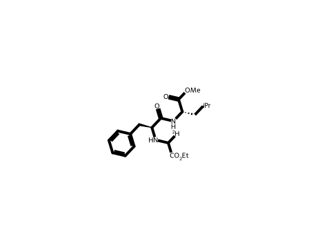 [2H]C(N[C@@H](Cc1ccccc1)C(=O)N[C@@H](CC(C)C)C(=O)OC)C(=O)OCC